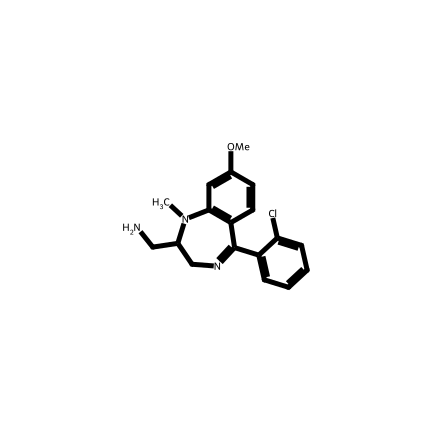 COc1ccc2c(c1)N(C)C(CN)CN=C2c1ccccc1Cl